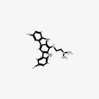 CN(C)CCOc1c2[nH]c3ccc(F)cc3c2cc2c1[nH]c1ccc(F)cc12